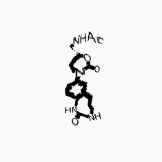 CC(=O)NC[C@H]1CN(c2ccc3c(c2)CCNC(=O)N3)C(=O)O1